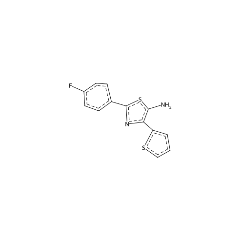 Nc1sc(-c2ccc(F)cc2)nc1-c1cccs1